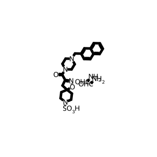 NC=O.NC=O.O=C(C1=NOC2(CCN(S(=O)(=O)O)CC2)C1)N1CCN(Cc2ccc3ccccc3c2)CC1